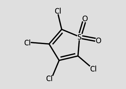 O=S1(=O)C(Cl)=C(Cl)C(Cl)=C1Cl